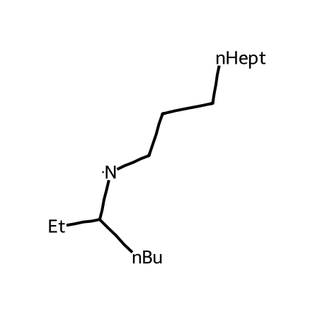 CCCCCCCCCC[N]C(CC)CCCC